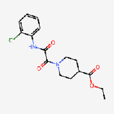 CCOC(=O)C1CCN(C(=O)C(=O)Nc2ccccc2Cl)CC1